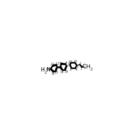 C=CC[C@H]1CC[C@H](c2ccc(-c3ccc(N)cc3)cc2)CC1